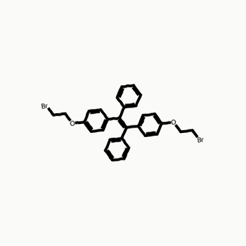 BrCCOc1ccc(/C(=C(\c2ccccc2)c2ccc(OCCBr)cc2)c2ccccc2)cc1